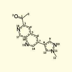 CC(=O)c1cc2cc(-c3cnn(C)c3)cnc2cn1